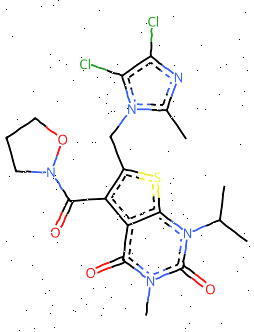 Cc1nc(Cl)c(Cl)n1Cc1sc2c(c1C(=O)N1CCCO1)c(=O)n(C)c(=O)n2C(C)C